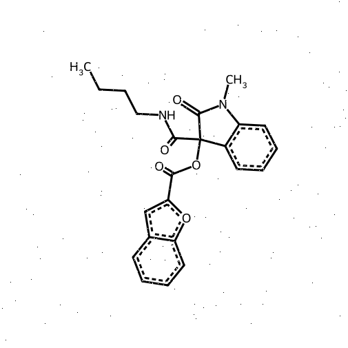 CCCCNC(=O)C1(OC(=O)c2cc3ccccc3o2)C(=O)N(C)c2ccccc21